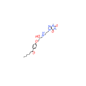 CCCCCC(=O)c1ccc(OCC(O)CNCCCn2cnc3c2c(=O)n(C)c(=O)n3C)cc1